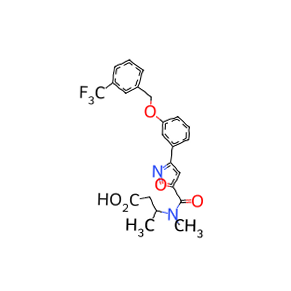 CC(CC(=O)O)N(C)C(=O)c1cc(-c2cccc(OCc3cccc(C(F)(F)F)c3)c2)no1